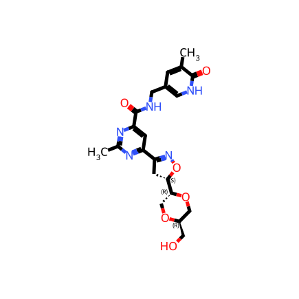 Cc1nc(C(=O)NCc2c[nH]c(=O)c(C)c2)cc(C2=NO[C@H]([C@H]3CO[C@H](CO)CO3)C2)n1